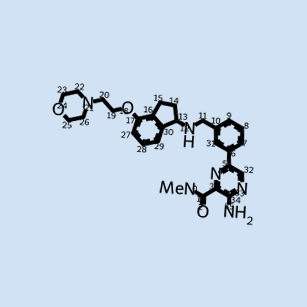 CNC(=O)c1nc(-c2cccc(CNC3CCc4c(OCCN5CCOCC5)cccc43)c2)cnc1N